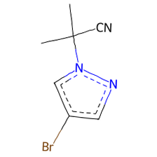 CC(C)(C#N)n1cc(Br)cn1